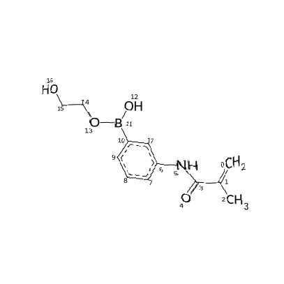 C=C(C)C(=O)Nc1cccc(B(O)OCCO)c1